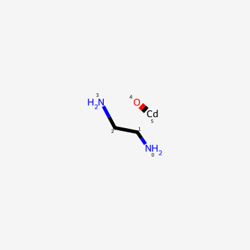 NCCN.[O]=[Cd]